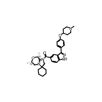 C[C@@H]1CN(C2(CNC(=O)c3ccc4[nH]nc(-c5ccc(OC6CCN(C)CC6)cc5)c4c3)CCCCC2)C[C@H](C)O1